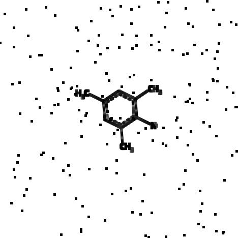 Cc1cc(C)c([N])c(C)c1